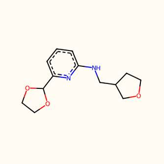 c1cc(NCC2CCOC2)nc(C2OCCO2)c1